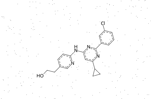 OCCc1ccc(Nc2cc(C3CC3)nc(-c3cccc(Cl)c3)n2)nc1